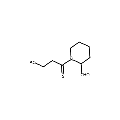 CC(=O)CCC(=S)N1CCCCC1C=O